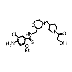 CCOc1cc(N)c(Cl)cc1C(=S)NCC1CN(CC2CCN(C(=O)CO)CC2)CCO1